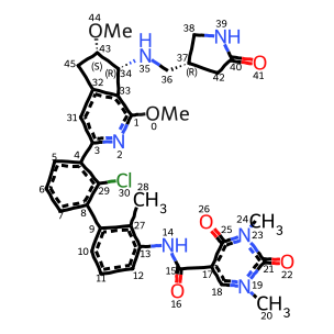 COc1nc(-c2cccc(-c3cccc(NC(=O)c4cn(C)c(=O)n(C)c4=O)c3C)c2Cl)cc2c1[C@@H](NC[C@@H]1CNC(=O)C1)[C@@H](OC)C2